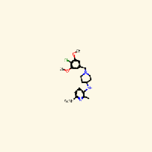 CCOc1cc(CN2CCC(Nc3ccc(NC(C)=O)nc3C)CC2)cc(OCC)c1Cl